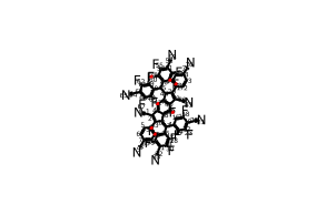 N#CC1=C(c2ccc(C#N)cc2)C(=C(c2c(F)c(F)c(C#N)c(F)c2F)c2c(F)c(F)c(C#N)c(F)c2F)c2cc3c(cc21)C(C(c1c(F)c(F)c(C#N)c(F)c1F)c1c(F)c(F)c(C#N)c(F)c1F)C(c1ccc(C#N)cc1)=C3C#N